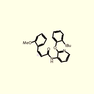 COc1ccccc1/C=C\C(=O)Nc1cccnc1Oc1ccccc1C(C)(C)C